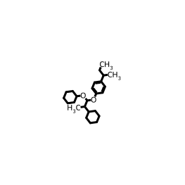 CCC(C)c1ccc(OC(OC2CCCCC2)C(C)C2CCCCC2)cc1